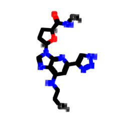 CCCNc1cc(-c2c[nH]nn2)nc2c1ncn2[C@H]1CC[C@@H](C(=O)NC)O1